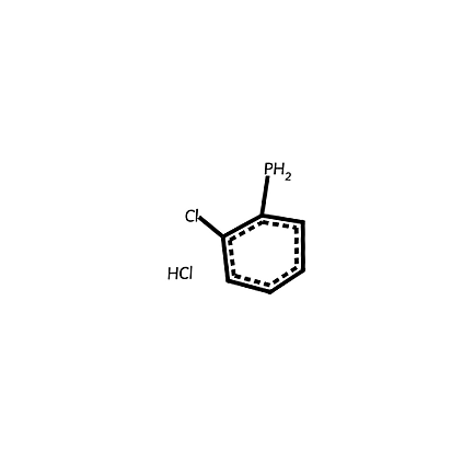 Cl.Pc1ccccc1Cl